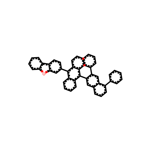 c1ccc(-c2cc3c(-c4ccccc4)cccc3cc2-c2c3ccccc3c(-c3ccc4c(c3)oc3ccccc34)c3ccccc23)cc1